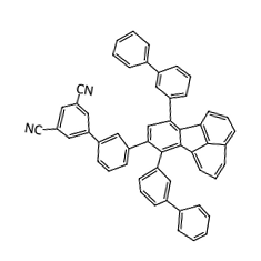 N#Cc1cc(C#N)cc(-c2cccc(-c3cc(-c4cccc(-c5ccccc5)c4)c4c(c3-c3cccc(-c5ccccc5)c3)-c3cccc5cccc-4c35)c2)c1